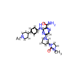 CC(=O)N1CCC(c2ccc(Nc3nc(N4CCC[C@@H](N5CCN(C)C5=O)C4)cnc3C(N)=O)cc2)CC1